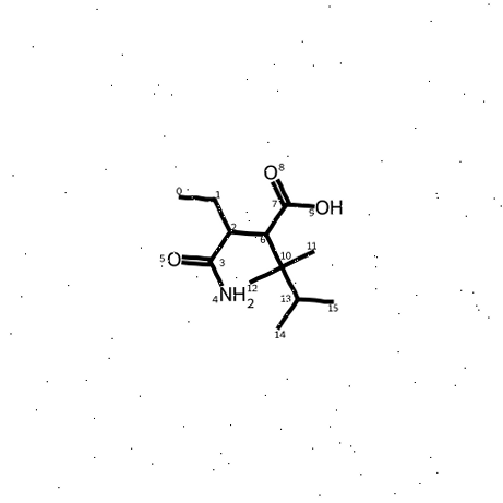 CCC(C(N)=O)C(C(=O)O)C(C)(C)C(C)C